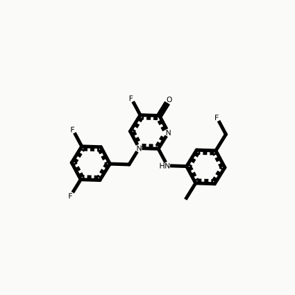 Cc1ccc(CF)cc1Nc1nc(=O)c(F)cn1Cc1cc(F)cc(F)c1